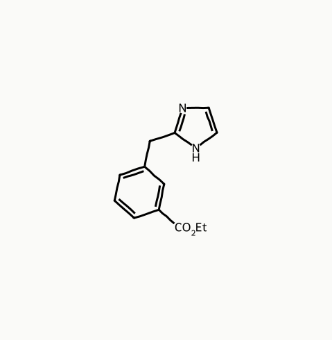 CCOC(=O)c1cccc(Cc2ncc[nH]2)c1